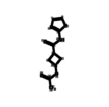 O=C(Nc1ncco1)C1CN(OC(=O)C(F)(F)F)C1